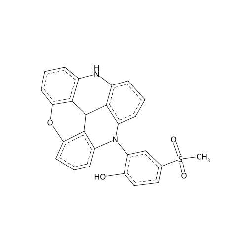 CS(=O)(=O)c1ccc(O)c(N2c3cccc4c3C3c5c(cccc5Oc5cccc2c53)N4)c1